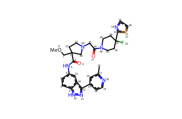 COCC1(C(=O)Nc2ccc3[nH]nc(-c4ccnc(C)c4)c3c2)CCN(CC(=O)N2CCC(F)(c3nccs3)CC2)C1